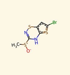 C[S+]([O-])C1=NSc2cc(Br)sc2N1